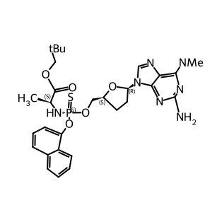 CNc1nc(N)nc2c1ncn2[C@H]1CC[C@@H](CO[P@@](=S)(N[C@@H](C)C(=O)OCC(C)(C)C)Oc2cccc3ccccc23)O1